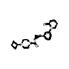 O=C([C@H]1C[C@@H]1c1cccc(N2CCCCC2=O)c1)N1CCN(C2CCC2)CC1